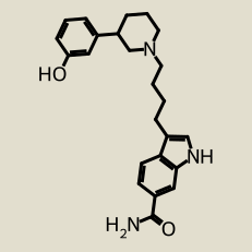 NC(=O)c1ccc2c(CCCCN3CCCC(c4cccc(O)c4)C3)c[nH]c2c1